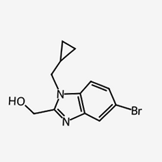 OCc1nc2cc(Br)ccc2n1CC1CC1